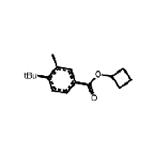 Cc1cc(C(=O)OC2CCC2)ccc1C(C)(C)C